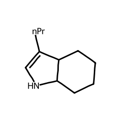 CCCC1=CNC2CCCCC12